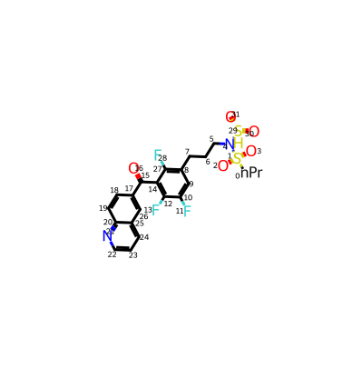 CCCS(=O)(=O)N(CCCc1cc(F)c(F)c(C(=O)c2ccc3ncccc3c2)c1F)[SH](=O)=O